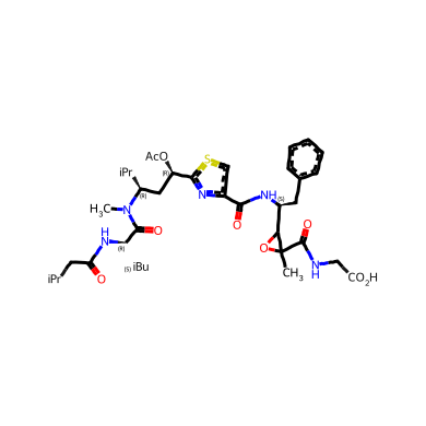 CC[C@H](C)[C@@H](NC(=O)CC(C)C)C(=O)N(C)[C@H](C[C@@H](OC(C)=O)c1nc(C(=O)N[C@@H](Cc2ccccc2)C2OC2(C)C(=O)NCC(=O)O)cs1)C(C)C